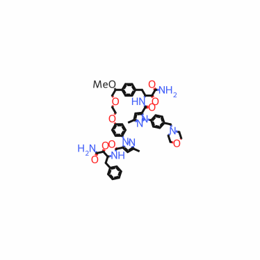 COC(COCCOc1ccc(-n2nc(C)cc2C(=O)NC(Cc2ccccc2)C(=O)C(N)=O)cc1)c1ccc(CC(NC(=O)c2cc(C)nn2-c2ccc(CN3CCOCC3)cc2)C(=O)C(N)=O)cc1